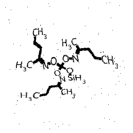 CCCC(C)=NOC(O[SiH3])(ON=C(C)CCC)ON=C(C)CCC